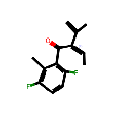 C=C(C)/C(=C/C)C(=O)c1c(F)ccc(F)c1C